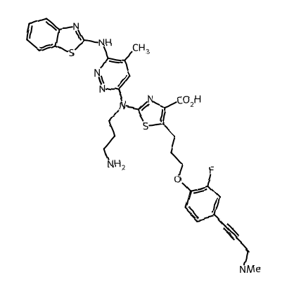 CNCC#Cc1ccc(OCCCc2sc(N(CCCN)c3cc(C)c(Nc4nc5ccccc5s4)nn3)nc2C(=O)O)c(F)c1